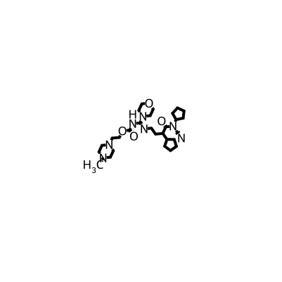 CN1CCN(CCOC(=O)NC(=NCCC(C(=O)N(C#N)C2CCCC2)C2CCCC2)N2CCOCC2)CC1